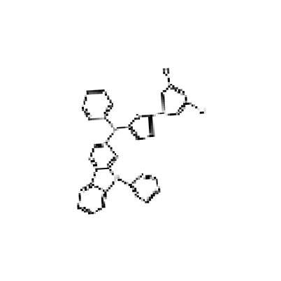 Clc1cc(Cl)cc(-c2ccc(N(c3ccccc3)c3ccc4c5ccccc5n(-c5ccccc5)c4c3)s2)c1